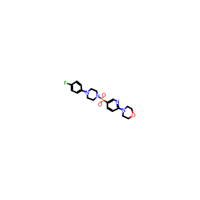 O=S(=O)(c1ccc(N2CCOCC2)nc1)N1CCN(c2ccc(F)cc2)CC1